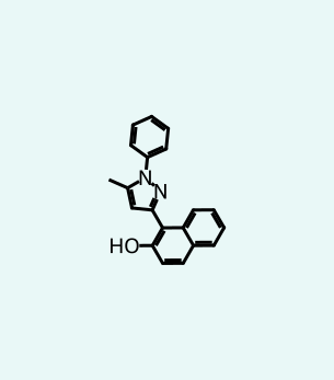 Cc1cc(-c2c(O)ccc3ccccc23)nn1-c1ccccc1